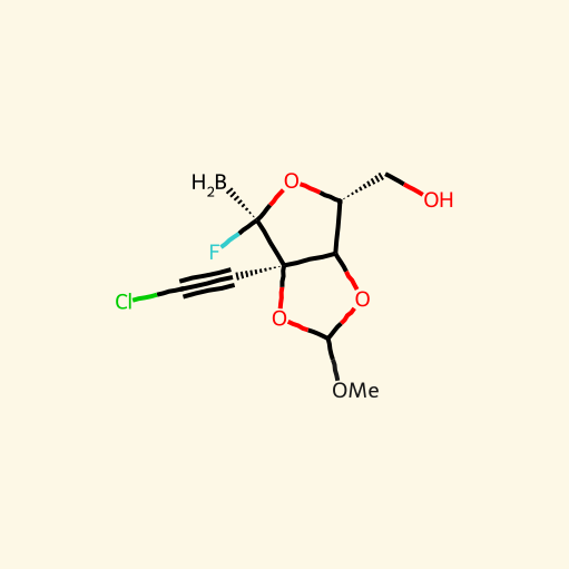 B[C@]1(F)O[C@H](CO)C2OC(OC)O[C@]21C#CCl